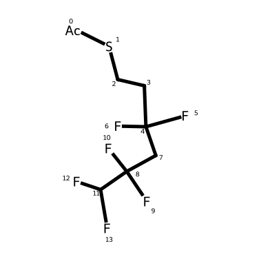 CC(=O)SCCC(F)(F)CC(F)(F)C(F)F